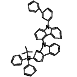 CC(C)(C)[Si](c1ccccc1)(c1ccccc1)c1ccc2c3ccccc3n(-c3cccc4c3c3ccccc3n4-c3cccc(-c4ccccc4)c3)c2c1